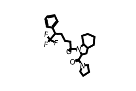 O=C(C1CC2CCCCC2N1C(=O)CCCC(c1ccccc1)C(F)(F)F)N1CCCC1